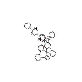 CC1(C)c2ccccc2-c2cc3c(cc21)-c1ccccc1C31c2ccccc2-c2ccccc2-c2ccc(-c3nc(-c4ccccc4)cc(-c4cnc(-c5ccccc5)nc4)n3)cc21